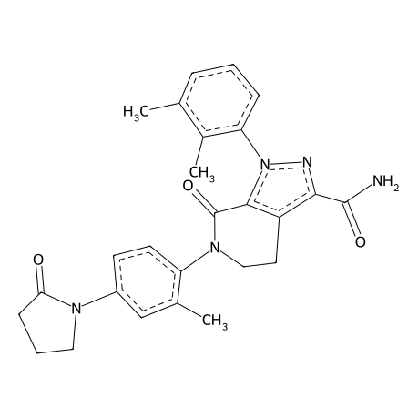 Cc1cc(N2CCCC2=O)ccc1N1CCc2c(C(N)=O)nn(-c3cccc(C)c3C)c2C1=O